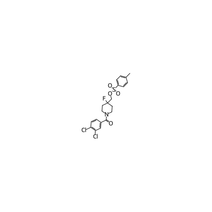 Cc1ccc(S(=O)(=O)OCC2(F)CCN(C(=O)c3ccc(Cl)c(Cl)c3)CC2)cc1